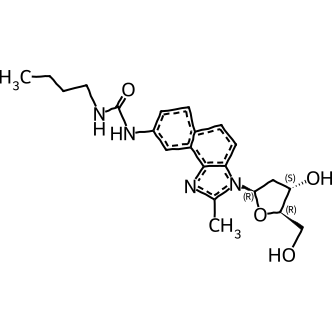 CCCCNC(=O)Nc1ccc2ccc3c(nc(C)n3[C@H]3C[C@H](O)[C@@H](CO)O3)c2c1